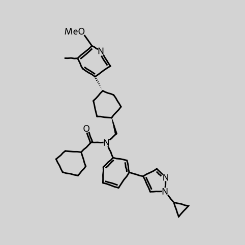 COc1ncc([C@H]2CC[C@H](CN(C(=O)C3CCCCC3)c3cccc(-c4cnn(C5CC5)c4)c3)CC2)cc1C